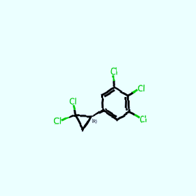 Clc1cc([C@H]2CC2(Cl)Cl)cc(Cl)c1Cl